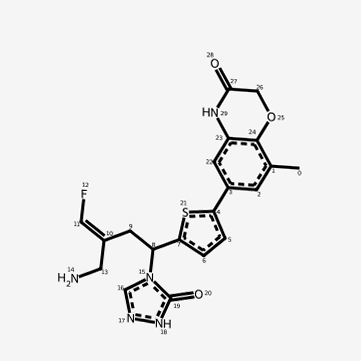 Cc1cc(-c2ccc(C(C/C(=C\F)CN)n3cn[nH]c3=O)s2)cc2c1OCC(=O)N2